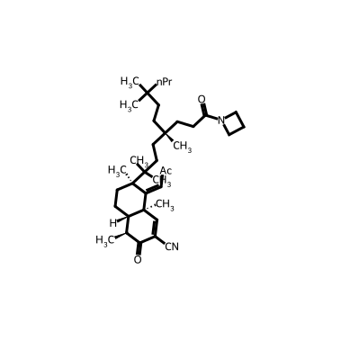 CCCC(C)(C)CC[C@](C)(CCC(=O)N1CCC1)CCC(C)(C)[C@]1(C)CC[C@H]2[C@H](C)C(=O)C(C#N)=C[C@]2(C)/C1=C/C(C)=O